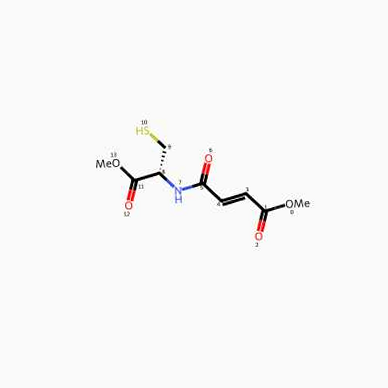 COC(=O)C=CC(=O)N[C@@H](CS)C(=O)OC